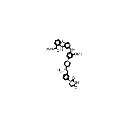 CNC(=O)c1ccccc1Nc1cc(Nc2ccc(N3CCC(N(C)Cc4cccc(N5CCC(=O)NC5=O)c4)CC3)cc2OC)ncc1C(F)(F)F